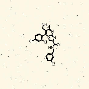 CC1=NC2=NC(C(=O)NCc3cccc(Cl)c3)CN2C(c2ccc(Cl)cc2Cl)=C1CN